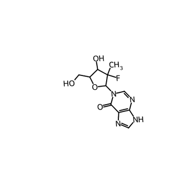 CC1(F)C(O)C(CO)OC1n1cnc2[nH]cnc2c1=O